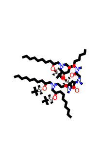 CCCCCCCCC(CN(CCCN(C)C(=O)CN(C)CC(=O)N(C)CCCN(CC(CCCCCCCC)O[Si](C)(C)C(C)(C)C)CC(CCCCCCCC)O[Si](C)(C)C(C)(C)C)CC(CCCCCCCC)O[Si](C)(C)C(C)(C)C)O[Si](C)(C)C(C)(C)C